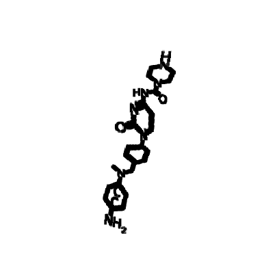 CN(Cc1ccc(-n2ccc(NC(=O)N3CCNCC3)nc2=O)cc1)C12CCC(N)(CC1)CC2